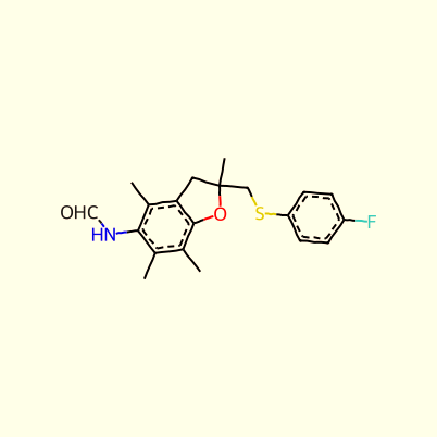 Cc1c(C)c2c(c(C)c1NC=O)CC(C)(CSc1ccc(F)cc1)O2